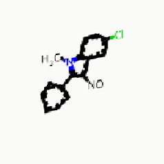 Cn1c(-c2ccccc2)c(N=O)c2cc(Cl)ccc21